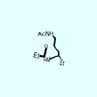 [CH2]CC(CCCNC(C)=O)NC(=O)CC